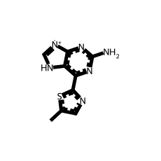 Cc1cnc(-c2nc(N)nc3c2NC=[N+]3)s1